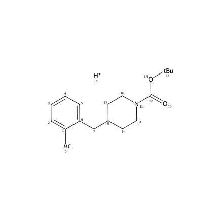 CC(=O)c1ccccc1CC1CCN(C(=O)OC(C)(C)C)CC1.[H+]